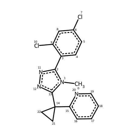 Cn1c(-c2ccc(Cl)cc2Cl)nnc1C1(c2ccccn2)CC1